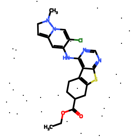 CCOC(=O)C1CCc2c(sc3ncnc(NC4=CC5=CCN(C)N5C=C4Cl)c23)C1